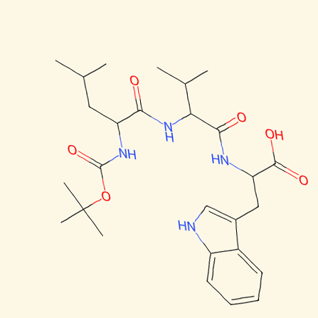 CC(C)CC(NC(=O)OC(C)(C)C)C(=O)NC(C(=O)NC(Cc1c[nH]c2ccccc12)C(=O)O)C(C)C